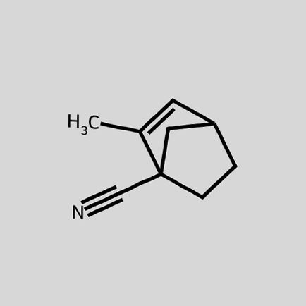 CC1=CC2CCC1(C#N)C2